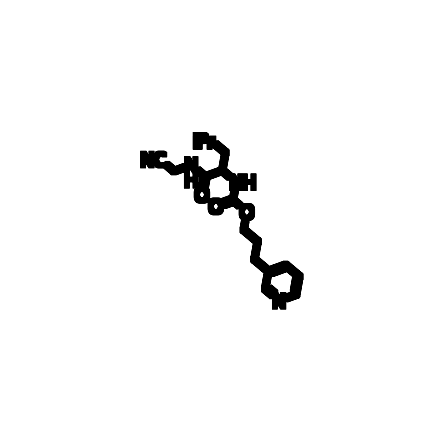 CC(C)CC(NC(=O)OCCCc1cccnc1)C(=O)NCC#N